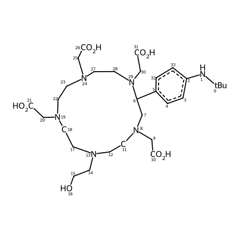 CC(C)(C)Nc1ccc(C2CN(CC(=O)O)CCN(CCO)CCN(CC(=O)O)CCN(CC(=O)O)CCN2CC(=O)O)cc1